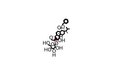 CC(C)[C@@H](C)[C@@]1(C)CC[C@]2(C)[C@H]3CC[C@@H]4[C@@]5(COC[C@]4(C)[C@@H](O[C@@H]4OC(CO)[C@@H](O)[C@H](O)C4O)[C@H](O)C5)C3=CC[C@@]2(C)[C@@H]1C(=O)OCc1ccccc1